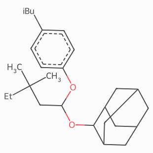 CCC(C)c1ccc(OC(CC(C)(C)CC)OC2C3CC4CC(C3)CC2C4)cc1